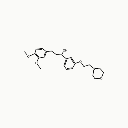 COc1ccc(CCC(O)c2cccc(OCCN3CCOCC3)c2)cc1OC